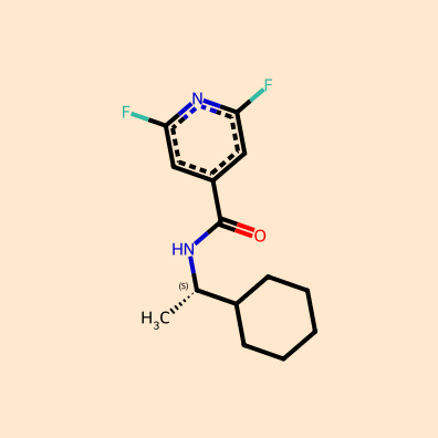 C[C@H](NC(=O)c1cc(F)nc(F)c1)C1CCCCC1